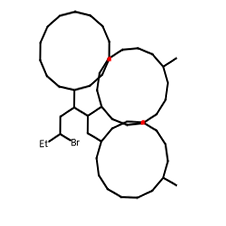 CCC(Br)CC(C1CCCCCCCCCCCCC1)C(CC1CCCCCCC(C)CCCCCC1)C1CCCCCCC(C)CCCCCC1